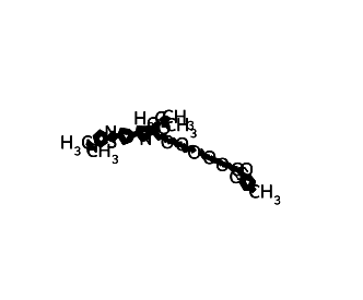 Cc1ccc(S(=O)(=O)OCCOCCOCCOCCOCCOCCN(C(=O)OC(C)(C)C)c2ccc(-c3ccc(-c4nc5ccc(N(C)C)cc5s4)cc3)cn2)cc1